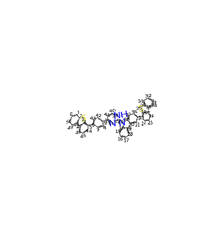 C1=Cc2sc3c(-c4ccc(C5=NC(n6c7ccccc7c7cc(-c8cccc9c8sc8ccccc89)ccc76)NC=C5)cc4)cccc3c2CC1